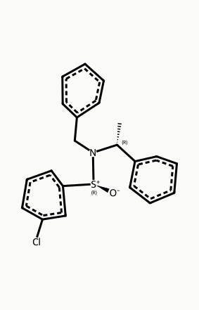 C[C@H](c1ccccc1)N(Cc1ccccc1)[S@@+]([O-])c1cccc(Cl)c1